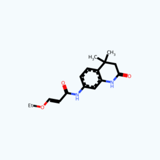 CCOC=CC(=O)Nc1ccc2c(c1)NC(=O)CC2(C)C